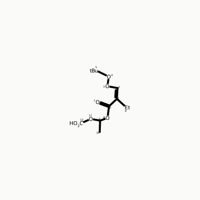 CCC(=COOC(C)(C)C)C(=O)OC(C)OC(=O)O